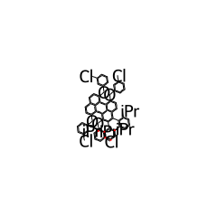 CC(C)c1cccc(C(C)C)c1-c1c(-c2c(C(C)C)cccc2C(C)C)c2ccc(Oc3cccc(Cl)c3)c3c4c(Oc5cccc(Cl)c5)ccc5ccc(Oc6cccc(Cl)c6)c(c(c1Oc1cccc(Cl)c1)c23)c54